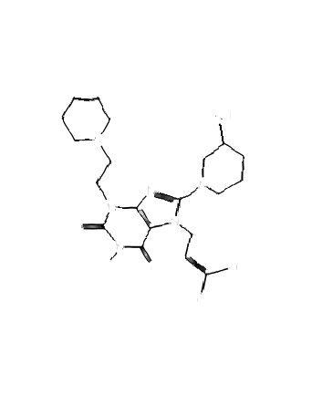 CC(C)=CCn1c(N2CCCC(N)C2)nc2c1c(=O)n(C)c(=O)n2CCN1CCCCC1